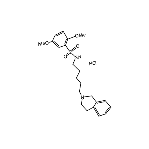 COc1ccc(OC)c(S(=O)(=O)NCCCCCN2CCc3ccccc3C2)c1.Cl